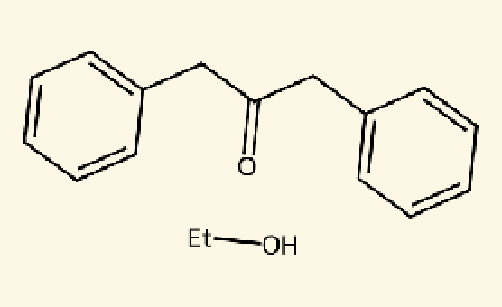 CCO.O=C(Cc1ccccc1)Cc1ccccc1